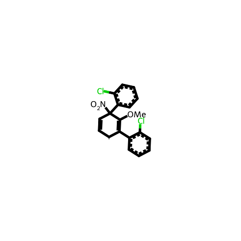 COC1=C(c2ccccc2Cl)[CH]C=CC1(c1ccccc1Cl)[N+](=O)[O-]